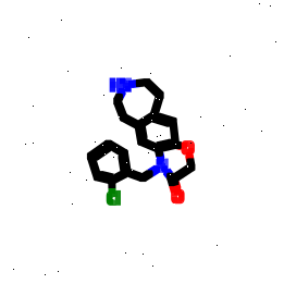 O=C1COc2cc3c(cc2N1Cc1ccccc1Cl)CCNCC3